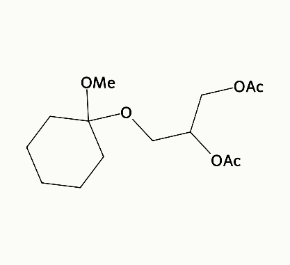 COC1(OCC(COC(C)=O)OC(C)=O)CCCCC1